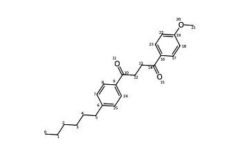 CCCCCCc1ccc(C(=O)CCC(=O)c2ccc(OC)cc2)cc1